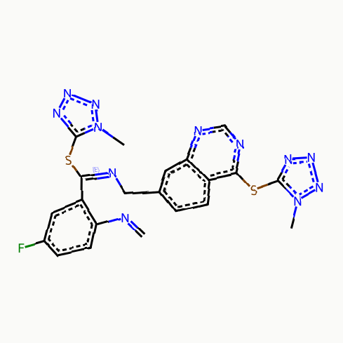 C=Nc1ccc(F)cc1/C(=N\Cc1ccc2c(Sc3nnnn3C)ncnc2c1)Sc1nnnn1C